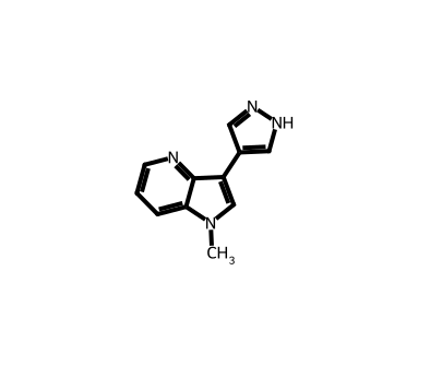 Cn1cc(-c2cn[nH]c2)c2ncccc21